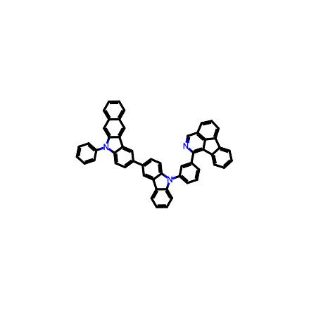 c1ccc(-n2c3ccc(-c4ccc5c(c4)c4ccccc4n5-c4cccc(-c5ncc6cccc7c6c5-c5ccccc5-7)c4)cc3c3cc4ccccc4cc32)cc1